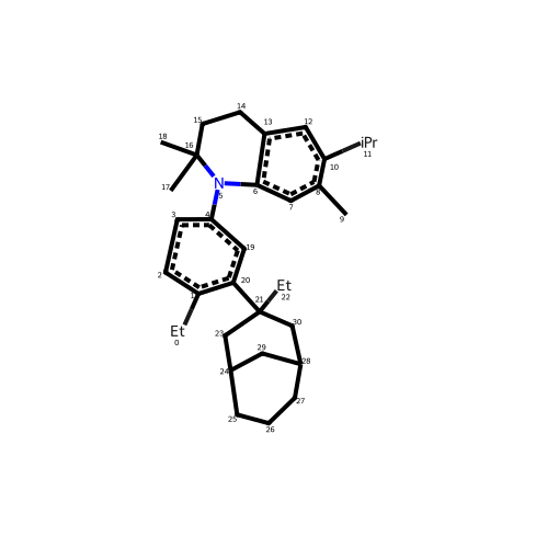 CCc1ccc(N2c3cc(C)c(C(C)C)cc3CCC2(C)C)cc1C1(CC)CC2CCCC(C2)C1